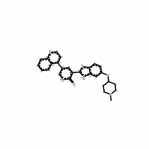 CN1CCC(Oc2ccc3nc(-c4cc(-c5ccnc6ccccc56)c[nH]c4=O)[nH]c3c2)CC1